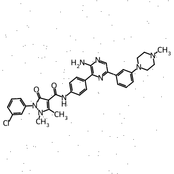 Cc1c(C(=O)Nc2ccc(-c3nc(-c4cccc(N5CCN(C)CC5)c4)cnc3N)cc2)c(=O)n(-c2cccc(Cl)c2)n1C